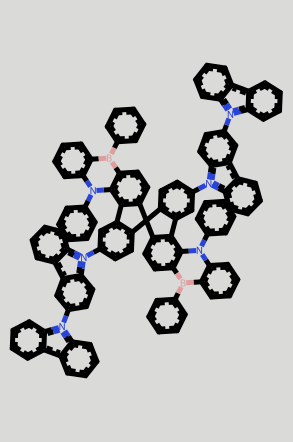 c1ccc(B2c3ccccc3N(c3ccccc3)c3c2ccc2c3-c3cc(-n4c5ccccc5c5cc(-n6c7ccccc7c7ccccc76)ccc54)ccc3C23c2ccc(-n4c5ccccc5c5cc(-n6c7ccccc7c7ccccc76)ccc54)cc2-c2c3ccc3c2N(c2ccccc2)c2ccccc2B3c2ccccc2)cc1